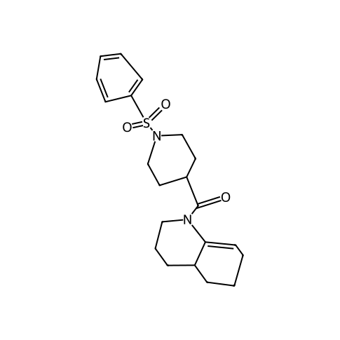 O=C(C1CCN(S(=O)(=O)c2ccccc2)CC1)N1CCCC2CCCC=C21